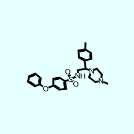 Cc1ccc(C(CNS(=O)(=O)c2ccc(Oc3ccccc3)cc2)N2CCN(C)CC2)cc1